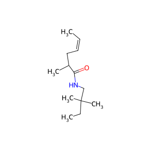 C/C=C\CC(C)C(=O)NCC(C)(C)CC